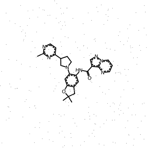 Cc1nccc(C2CCN(c3cc4c(cc3NC(=O)c3cnn5cccnc35)CC(C)(C)O4)C2)n1